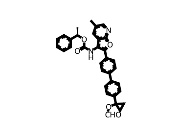 Cc1cnc2oc(-c3ccc(-c4ccc(C5(OC=O)CC5)cc4)cc3)c(NC(=O)O[C@H](C)c3ccccc3)c2c1